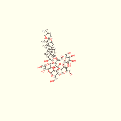 CC1CC[C@@]2(OC1)OC1C[C@H]3[C@@H]4CC[C@H]5CC(OC6OC(CO)C(O)C(OC7OC(CO)C(OC8OC(CO)C(O)C(OC9OC(CO)C(O)C(O)C9O)C8OC8OC(CO)C(O)C(O)C8O)C(O)C7O)C6O)[C@H](O)CC5(C)[C@H]4CCC3(C)C1[C@@H]2C